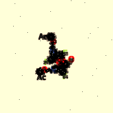 CC(=O)c1cccc(OCCCN2CCC(C(OC(=O)C(=O)OC(c3ccc(F)cc3)(c3ccc(F)cc3)C3CCN(CCCOc4cccc(C(C)=O)c4)CC3)(c3ccc(F)cc3)c3ccc(F)cc3)CC2)c1.O